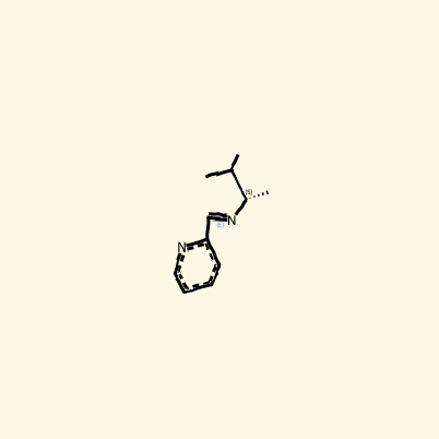 CC(C)[C@H](C)/N=C/c1ccccn1